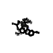 C[C@@H]1C[C@@]2(Cc3ccc(Br)cc3/C2=N/[S@@+]([O-])C(C)(C)C)C[C@H](C)[C@H]1OC(F)F